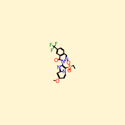 CCS(=O)(=O)c1c(-n2ncc3ccc(C(F)(F)F)cc3c2=O)nc2cc(OC)ccn12